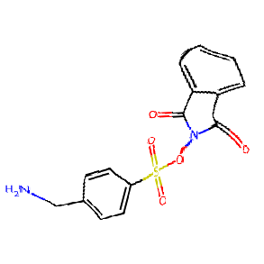 NCc1ccc(S(=O)(=O)ON2C(=O)c3ccccc3C2=O)cc1